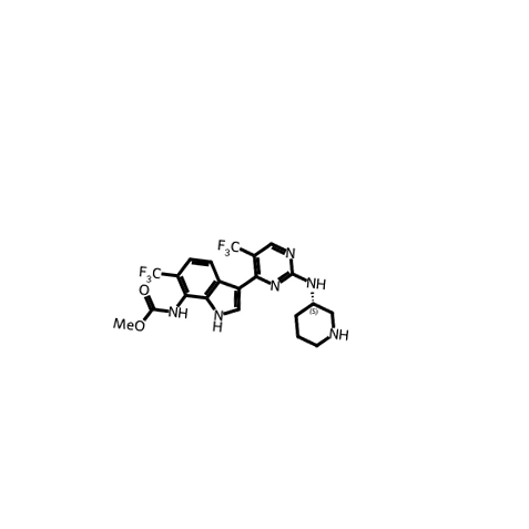 COC(=O)Nc1c(C(F)(F)F)ccc2c(-c3nc(N[C@H]4CCCNC4)ncc3C(F)(F)F)c[nH]c12